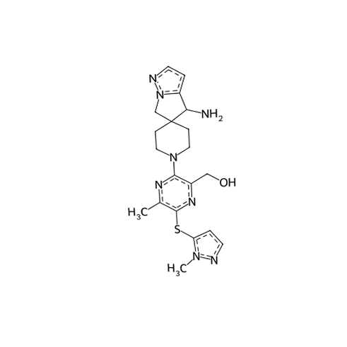 Cc1nc(N2CCC3(CC2)Cn2nccc2C3N)c(CO)nc1Sc1ccnn1C